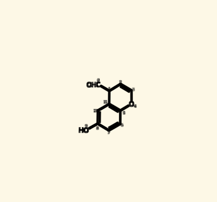 O=CC1C=COc2ccc(O)cc21